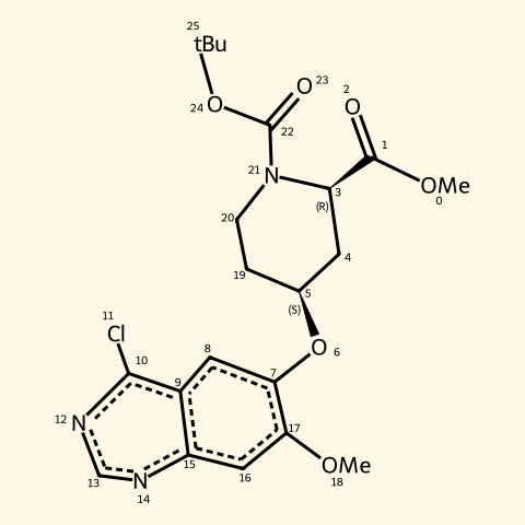 COC(=O)[C@H]1C[C@@H](Oc2cc3c(Cl)ncnc3cc2OC)CCN1C(=O)OC(C)(C)C